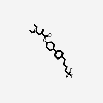 C=C(CN(CC)CC)C(=O)OC1CCC(c2ccc(CCCCC(F)(F)F)cc2)CC1